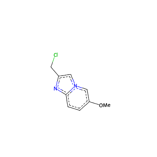 COc1ccc2nc(CCl)cn2c1